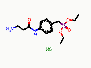 CCOP(=O)(Cc1ccc(NC(=O)CCN)cc1)OCC.Cl